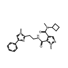 CN(C(=O)c1cnn(C)c1C(=O)NCCc1nc(-c2ccccc2)cn1C)C1CCC1